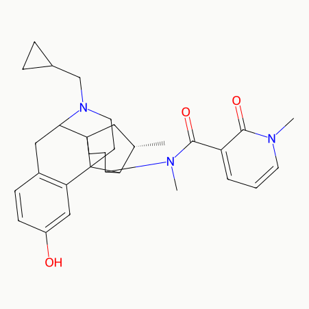 C[C@H]1CC23CCC(N(C)C(=O)c4cccn(C)c4=O)C1C21CCN(CC2CC2)C3Cc2ccc(O)cc21